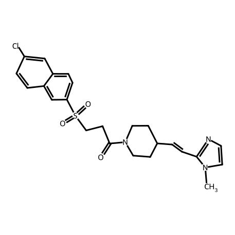 Cn1ccnc1C=CC1CCN(C(=O)CCS(=O)(=O)c2ccc3cc(Cl)ccc3c2)CC1